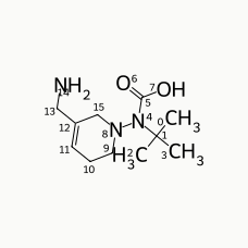 CC(C)(C)N(C(=O)O)N1CCC=C(CN)C1